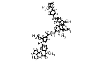 CC[C@@H]1C(=O)N(C)c2cnc(Nc3ccc(C(=O)NCCC(=O)NC(C(=O)N4C[C@H](O)C[C@H]4C(=O)NCc4ccc(-c5scnc5C)cc4)C(C)(C)C)cc3OC)nc2N1C1CCCC1